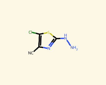 N#Cc1nc(NN)sc1Cl